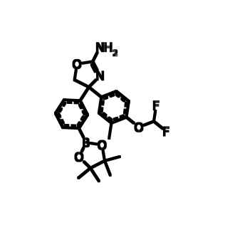 Cc1cc(C2(c3cccc(B4OC(C)(C)C(C)(C)O4)c3)COC(N)=N2)ccc1OC(F)F